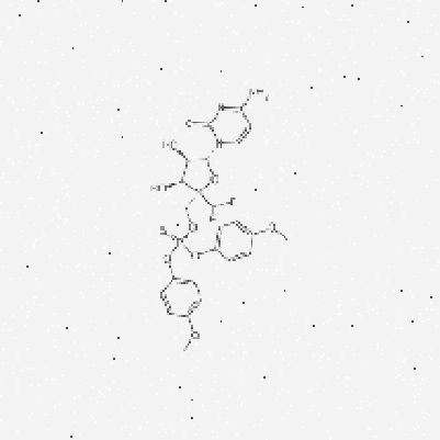 COc1ccc(OP(=S)(OC[C@@]2(C(F)F)O[C@@H](n3ccc(N)nc3=O)[C@H](O)[C@@H]2O)Oc2ccc(OC)cc2)cc1